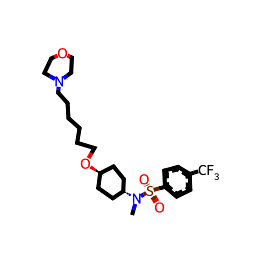 CN([C@H]1CC[C@H](OCCCCCCN2CCOCC2)CC1)S(=O)(=O)c1ccc(C(F)(F)F)cc1